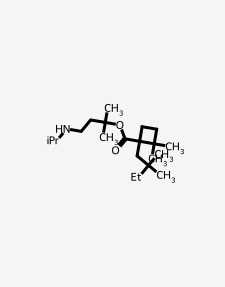 CCC(C)(C)CC1(C(=O)OC(C)(C)CCNC(C)C)CCC1(C)C